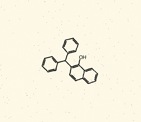 Oc1c(C(c2ccccc2)c2ccccc2)ccc2ccccc12